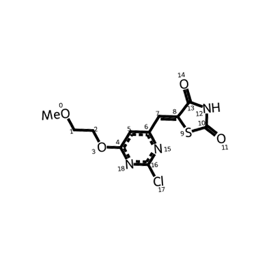 COCCOc1cc(/C=C2\SC(=O)NC2=O)nc(Cl)n1